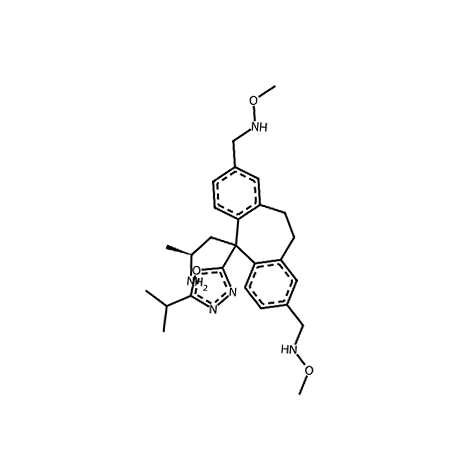 CONCc1ccc2c(c1)CCc1cc(CNOC)ccc1C2(C[C@H](C)N)c1nnc(C(C)C)o1